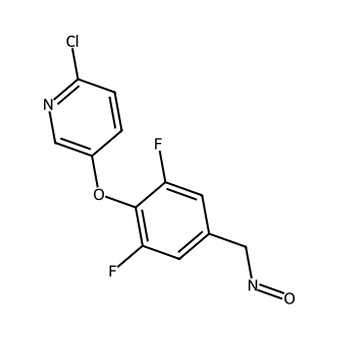 O=NCc1cc(F)c(Oc2ccc(Cl)nc2)c(F)c1